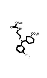 COC(=O)NCCOC(c1cccc(C(F)(F)F)c1)C1CCCN(C(=O)O)C1